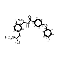 CCC(Cc1ccc(OC)c(CNC(=O)c2ccc(Oc3ccc(F)cc3)cc2)c1)C(=O)O